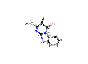 C=c1c(OC)nc2nc3ccccc3n2c1=O